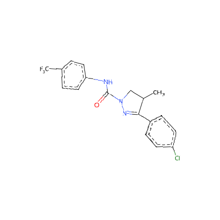 CC1CN(C(=O)Nc2ccc(C(F)(F)F)cc2)N=C1c1ccc(Cl)cc1